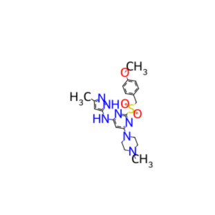 COc1ccc(CS(=O)(=O)c2nc(Nc3cc(C)n[nH]3)cc(N3CCN(C)CC3)n2)cc1